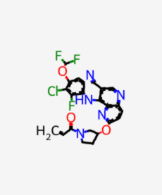 C=CC(=O)N1CC[C@H](Oc2ccc3ncc(C#N)c(Nc4ccc(OC(F)F)c(Cl)c4F)c3n2)C1